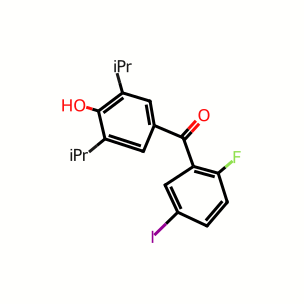 CC(C)c1cc(C(=O)c2cc(I)ccc2F)cc(C(C)C)c1O